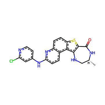 C[C@@H]1CNc2c(sc3ccc4nc(Nc5ccnc(Cl)c5)ccc4c23)C(=O)N1